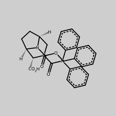 O=C(O)[C@@H]1[C@H]2CC[C@@H](CN1C(=O)N(c1ccccc1)c1ccccc1)N2C(=O)OCc1ccccc1